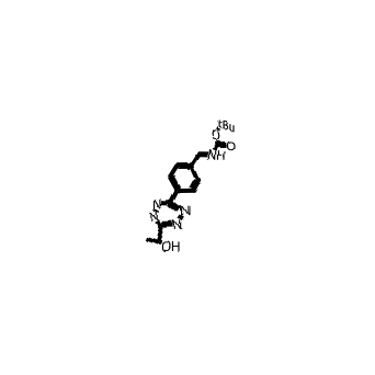 CC(O)c1nnc(-c2ccc(CNC(=O)OC(C)(C)C)cc2)nn1